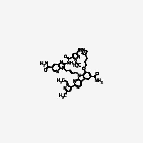 CCn1nc(C)cc1C(=O)Nc1nc2cc(C(N)=O)cnc2n1CC=CCn1c2nc(-c3cc(C)nn3CC)ncc2c2cc(C(N)=O)cc(OCCCC3CNC3)c21